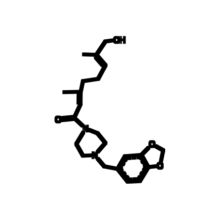 C/C(=C\CC/C(C)=C/C(=O)N1CCN(Cc2ccc3c(c2)OCO3)CC1)CO